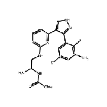 COC(=O)NC(C)CNc1nccc(-c2c[nH]nc2-c2cc(Cl)cc(N)c2F)n1